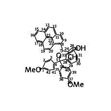 COc1ccc(C(OC(c2ccc3ccc4cccc5ccc2c3c45)C(C)CO)(c2ccccc2)c2ccc(OC)cc2)cc1